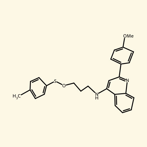 COc1ccc(-c2cc(NCCCOSc3ccc(C)cc3)c3ccccc3n2)cc1